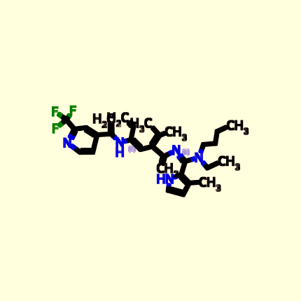 C=C/C(=C\C(C(=C)/N=C(\c1[nH]ccc1C)N(CC)CCCC)=C(C)C)NC(=C)c1ccnc(C(F)(F)F)c1